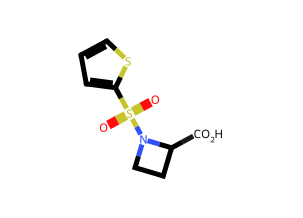 O=C(O)C1CCN1S(=O)(=O)c1cccs1